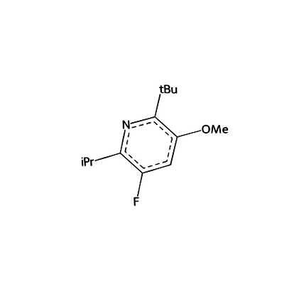 COc1cc(F)c(C(C)C)nc1C(C)(C)C